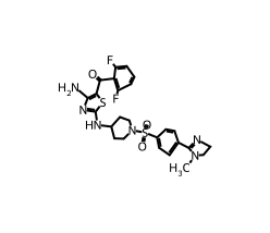 CN1CCN=C1c1ccc(S(=O)(=O)N2CCC(Nc3nc(N)c(C(=O)c4c(F)cccc4F)s3)CC2)cc1